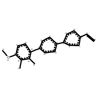 C=Cc1ccc(-c2ccc(-c3ccc(OC)c(C)c3C)cc2)cc1